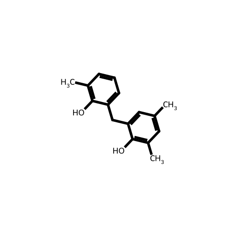 Cc1cc(C)c(O)c(Cc2cccc(C)c2O)c1